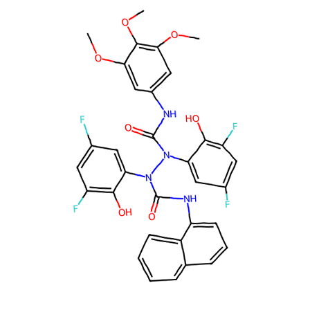 COc1cc(NC(=O)N(c2cc(F)cc(F)c2O)N(C(=O)Nc2cccc3ccccc23)c2cc(F)cc(F)c2O)cc(OC)c1OC